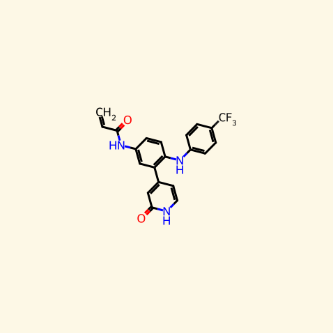 C=CC(=O)Nc1ccc(Nc2ccc(C(F)(F)F)cc2)c(-c2cc[nH]c(=O)c2)c1